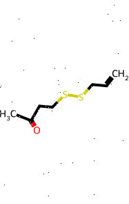 C=CCSSCCC(C)=O